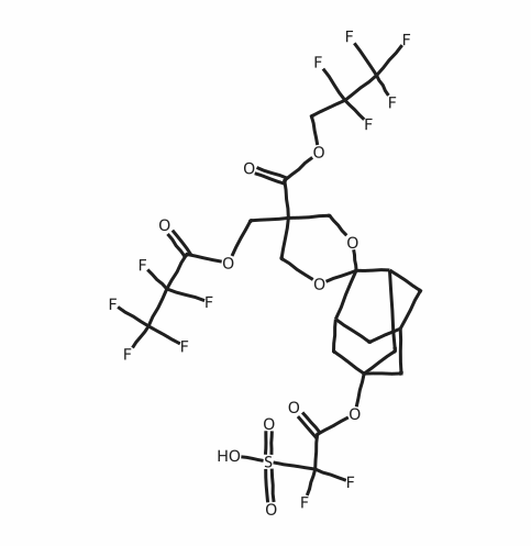 O=C(OCC(F)(F)C(F)(F)F)C1(COC(=O)C(F)(F)C(F)(F)F)COC2(OC1)C1CC3CC2CC(OC(=O)C(F)(F)S(=O)(=O)O)(C3)C1